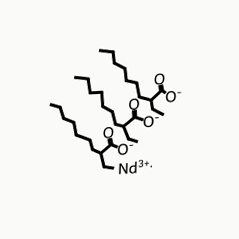 CCCCCCCC(CC)C(=O)[O-].CCCCCCCC(CC)C(=O)[O-].CCCCCCCC(CC)C(=O)[O-].[Nd+3]